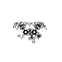 Cc1cc(B2OC(C)(C)C(C)(C)O2)cc(S(=O)(=NCC(=O)O)c2cc(OC(F)(F)F)cc(B3OC(C)(C)C(C)(C)O3)c2)c1